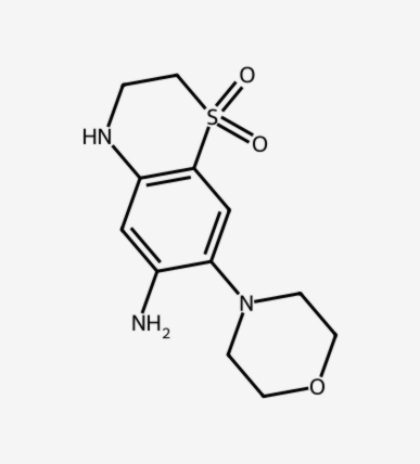 Nc1cc2c(cc1N1CCOCC1)S(=O)(=O)CCN2